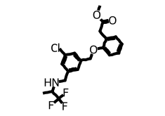 COC(=O)Cc1ccccc1OCc1cc(Cl)cc(CNC(C)C(F)(F)F)c1